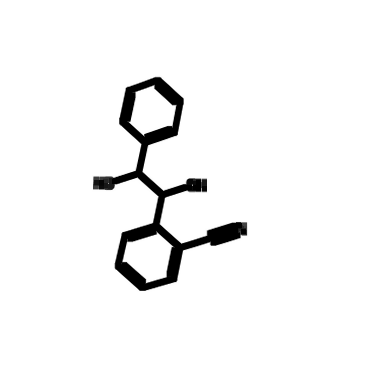 N#Cc1ccccc1C(O)C(O)c1ccccc1